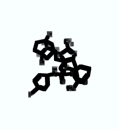 CC(C)(C)C(=O)N1CCc2c(nc(C(F)(F)F)n2[C@H]2C[C@H]3CC[C@@H](C2)N3CCCN(C(=O)Nc2ccc(F)cc2)c2ccccc2)C1